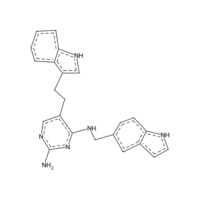 Nc1ncc(CCc2c[nH]c3ccccc23)c(NCc2ccc3[nH]ccc3c2)n1